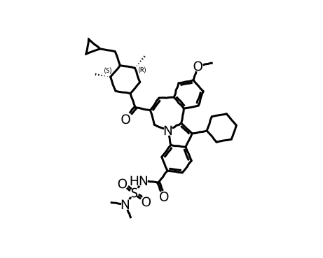 COc1ccc2c(c1)C=C(C(=O)C1C[C@@H](C)C(CC3CC3)[C@@H](C)C1)Cn1c-2c(C2CCCCC2)c2ccc(C(=O)NS(=O)(=O)N(C)C)cc21